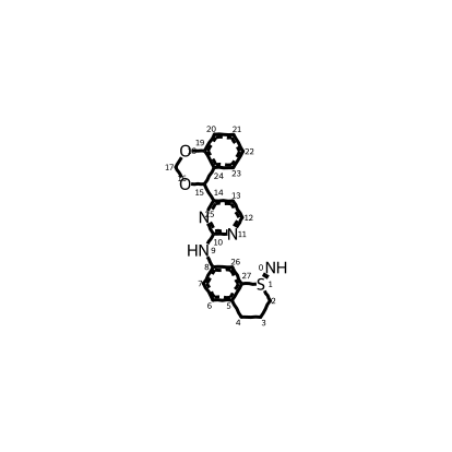 N=S1CCCc2ccc(Nc3nccc(C4OCOc5ccccc54)n3)cc21